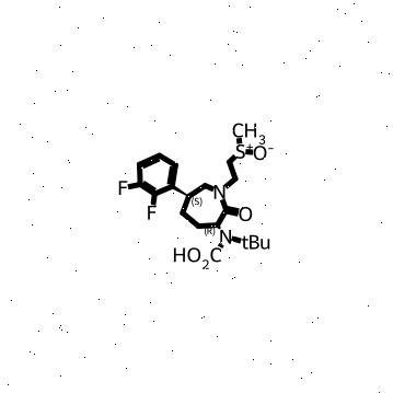 C[S+]([O-])CCN1C[C@H](c2cccc(F)c2F)CC[C@@H](N(C(=O)O)C(C)(C)C)C1=O